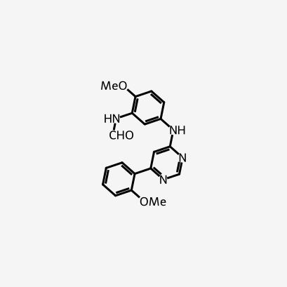 COc1ccc(Nc2cc(-c3ccccc3OC)ncn2)cc1NC=O